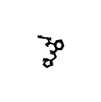 CCCCNC(=O)c1ccccc1NCC1=NCCN1